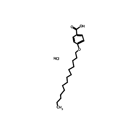 CCCCCCCCCCCCCCOc1ccc(C(=O)O)cc1.Cl